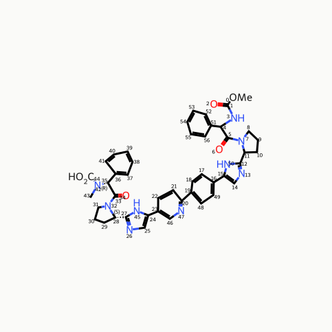 COC(=O)NC(C(=O)N1CCCC1c1ncc(-c2ccc(-c3ccc(-c4cnc([C@@H]5CCCN5C(=O)[C@@H](c5ccccc5)N(C)C(=O)O)[nH]4)cn3)cc2)[nH]1)c1ccccc1